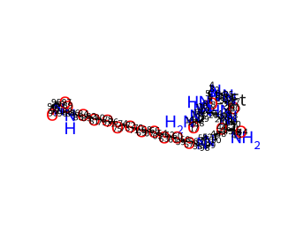 CCn1nc(C)cc1C(=O)Nc1nc2nc(C(N)=O)ccc2n1CCCCn1c(NC(=O)c2cc(C)nn2CC)nc2cc(C(N)=O)cc(OCCCN3CCN(CCOCCOCCOCCOCCOCCOCCOCCOCCOCCOCCNC(=O)CN4C(=O)C=CC4=O)CC3)c21